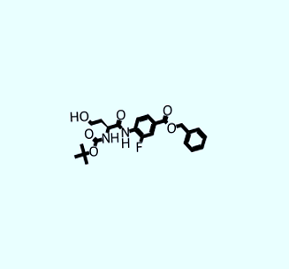 CC(C)(C)OC(=O)N[C@@H](CCO)C(=O)Nc1ccc(C(=O)OCc2ccccc2)cc1F